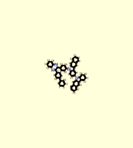 c1ccc(-c2ccc(-c3nc4ccccc4nc3-c3ccc(-n4c5ccc(-n6c7ccccc7c7cc8ccccc8cc76)cc5c5cc6ccccc6cc54)cc3)cc2)cc1